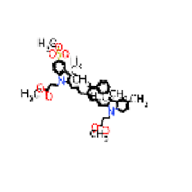 COC(=O)CCN1/C(=C/C=C/C(=C/C=C/C2=[N+](CCC(=O)OC)c3ccc(C)cc3C2(C)C)Cc2ccccc2)C(C)(C)c2cc(S(=O)(=O)OC)ccc21